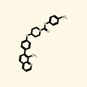 Cc1c(-c2ccc(OC3CCN(C(=O)Oc4ccc([N+](=O)[O-])cc4)CC3)cc2)ccc2cccnc12